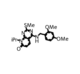 COc1ccc(CNc2nc(SC)nc3c2ccc(=O)n3C(C)C)c(OC)c1